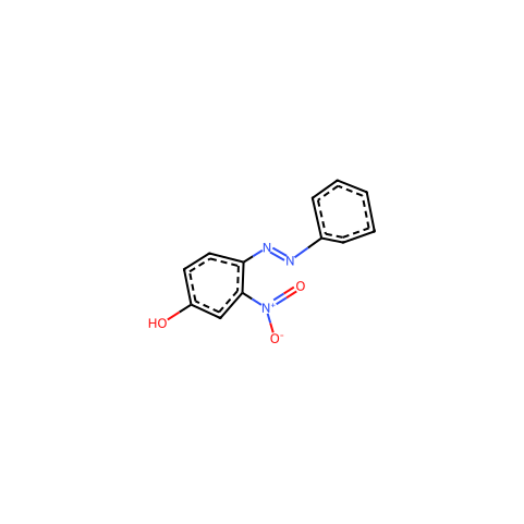 O=[N+]([O-])c1cc(O)ccc1/N=N/c1ccccc1